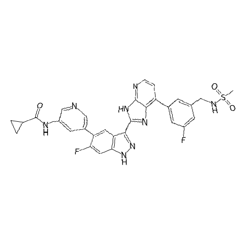 CS(=O)(=O)NCc1cc(F)cc(-c2ccnc3[nH]c(-c4n[nH]c5cc(F)c(-c6cncc(NC(=O)C7CC7)c6)cc45)nc23)c1